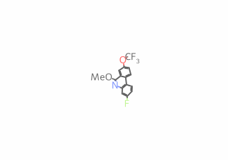 COc1nc2cc(F)ccc2c2ccc(OC(F)(F)F)cc12